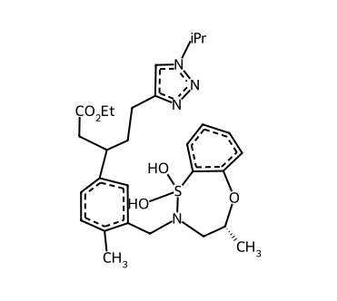 CCOC(=O)CC(CCc1cn(C(C)C)nn1)c1ccc(C)c(CN2C[C@@H](C)Oc3ccccc3S2(O)O)c1